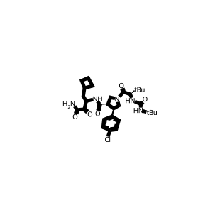 CC(C)(C)NC(=O)N[C@H](C(=O)N1C[C@@H](C(=O)NC(CC2CCC2)C(=O)C(N)=O)[C@H](c2ccc(Cl)cc2)C1)C(C)(C)C